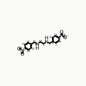 O=[N+]([O-])c1ccc(CNCCNCc2ccc([N+](=O)[O-])cc2)cc1